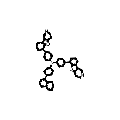 c1ccc2c(-c3ccc(N(c4ccc(-c5cccc6c5oc5ccncc56)cc4)c4ccc(-c5cccc6c5oc5ccncc56)cc4)cc3)cccc2c1